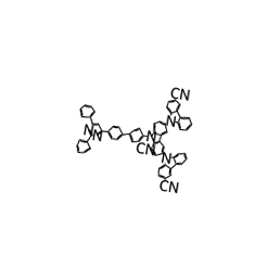 N#Cc1ccc2c(c1)c1ccccc1n2-c1ccc2c(c1)c1cc(-n3c4ccccc4c4cc(C#N)ccc43)ccc1n2-c1ccc(-c2ccc(-c3cc(-c4ccccc4)nc(-c4ccccc4)n3)cc2)cc1C#N